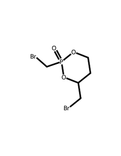 O=P1(CBr)OCCC(CBr)O1